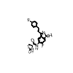 O=C1N[C@@H](C(=O)Nc2cc3c(/C=C/c4ccc(F)cc4)n[nH]c3cc2F)CS1